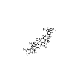 CCc1cc(Nc2cc(-c3cc(F)cc(N4CCn5c(cc6c5CC(C)(C)C6)C4=O)c3COC(C)=O)cn(C)c2=O)nn1C